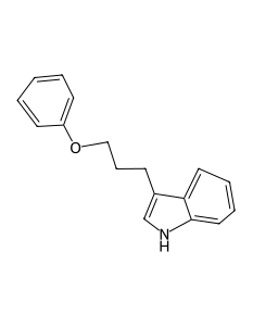 c1ccc(OCCCc2c[nH]c3ccccc23)cc1